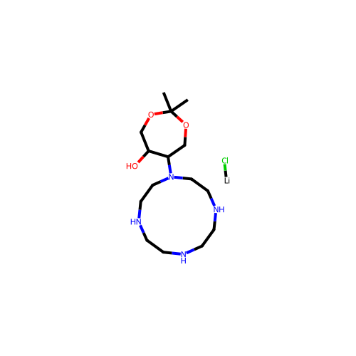 CC1(C)OCC(O)C(N2CCNCCNCCNCC2)CO1.[Li][Cl]